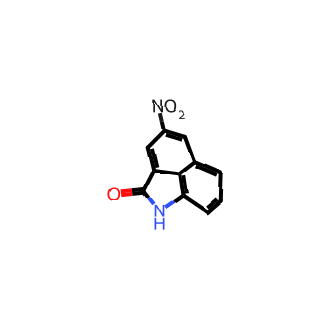 O=C1Nc2cccc3cc([N+](=O)[O-])cc1c23